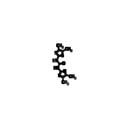 Cc1nc(NC(=O)Nc2nc(C)c(C)s2)sc1C